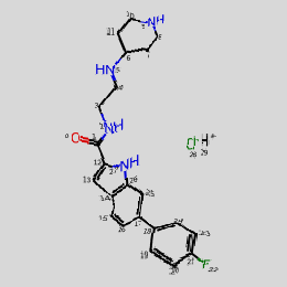 O=C(NCCNC1CCNCC1)c1cc2ccc(-c3ccc(F)cc3)cc2[nH]1.[Cl-].[H+]